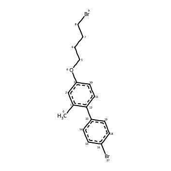 Cc1cc(OCCCCBr)ccc1-c1ccc(Br)cc1